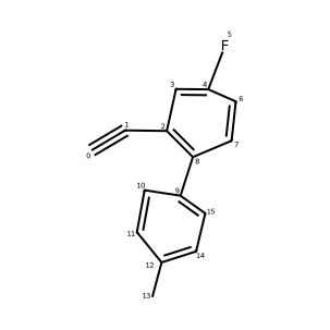 C#Cc1cc(F)ccc1-c1ccc(C)cc1